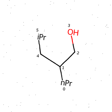 CCCC(CO)CC(C)C